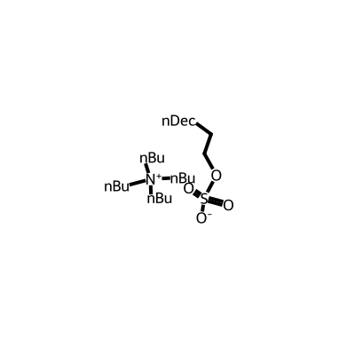 CCCCCCCCCCCCOS(=O)(=O)[O-].CCCC[N+](CCCC)(CCCC)CCCC